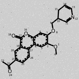 COc1cc2c(cc1OCC1C=NC=CC1)oc(=O)c1cc(C(C)=O)ccc12